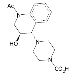 CC(=O)N1C[C@H](O)[C@@H](N2CCN(C(=O)O)CC2)c2ccccc21